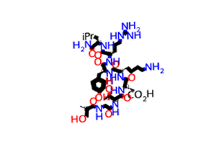 CC(C)C[C@H](NC(=O)[C@H](CCCNC(=N)N)NC(=O)[C@H](Cc1ccc(O)cc1)NC(=O)[C@H](CCCCN)NC(=O)[C@H](CC(=O)O)NC(=O)[C@@H](NC(=O)CNC(=O)[C@@H](C)CO)[C@@H](C)O)C(N)=O